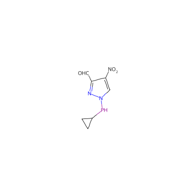 O=Cc1nn(PC2CC2)cc1[N+](=O)[O-]